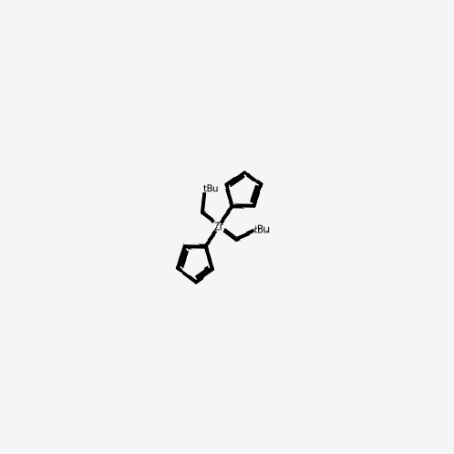 CC(C)(C)[CH2][Zr]([CH2]C(C)(C)C)([CH]1C=CC=C1)[CH]1C=CC=C1